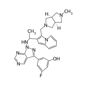 CC(Nn1nc(-c2cc(O)cc(F)c2)c2cncnc21)c1cc2ccccn2c1CN1C[C@H]2CN(C)C[C@H]2C1